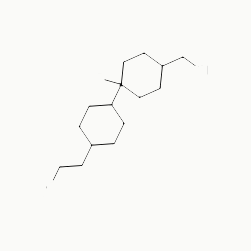 CCCC1CCC(C2(F)CCC(CC)CC2)CC1